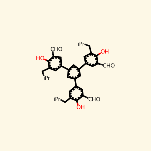 CC(C)Cc1cc(-c2cc(-c3cc(C=O)c(O)c(CC(C)C)c3)cc(-c3cc(C=O)c(O)c(CC(C)C)c3)c2)cc(C=O)c1O